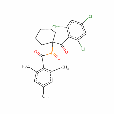 Cc1cc(C)c(C(=O)[P](=O)C2(C(=O)c3c(Cl)cc(Cl)cc3Cl)CCCCC2)c(C)c1